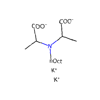 CCCCCCCCN(C(C)C(=O)[O-])C(C)C(=O)[O-].[K+].[K+]